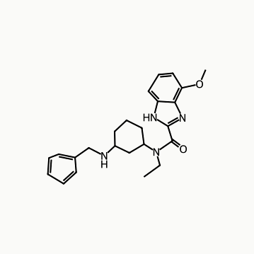 CCN(C(=O)c1nc2c(OC)cccc2[nH]1)C1CCCC(NCc2ccccc2)C1